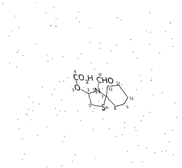 O=CN1C(OC(=O)O)CSC12CCCCC2